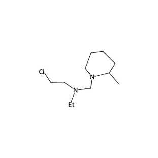 CCN(CCCl)CN1CCCCC1C